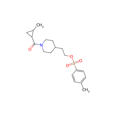 Cc1ccc(S(=O)(=O)OCCC2CCN(C(=O)C3CC3C)CC2)cc1